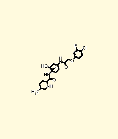 CC1CCC(C(=O)NC23CCC(NC(=O)COc4ccc(Cl)c(F)c4)(CC2)CC3O)NC1